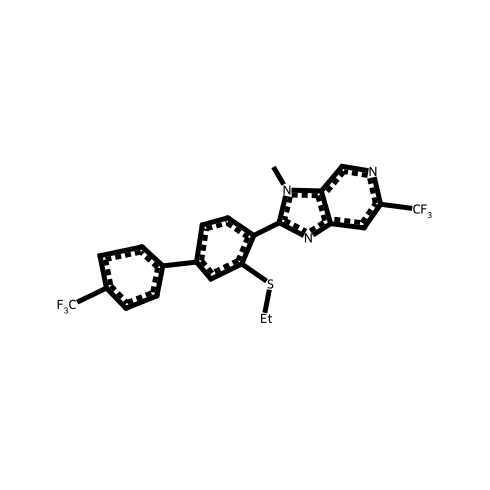 CCSc1cc(-c2ccc(C(F)(F)F)cc2)ccc1-c1nc2cc(C(F)(F)F)ncc2n1C